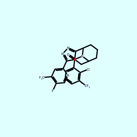 O=C(c1cccc(C(F)(F)F)c1Cl)N1C2CCCC1c1nnc(-c3cc(C(F)(F)F)c(F)cn3)n1C2